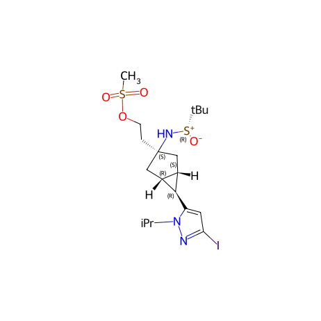 CC(C)n1nc(I)cc1[C@H]1[C@@H]2C[C@@](CCOS(C)(=O)=O)(N[S@@+]([O-])C(C)(C)C)C[C@@H]21